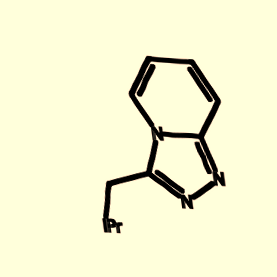 CC(C)Cc1nnc2ccccn12